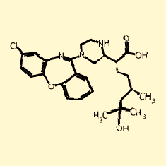 C[C@H](CC[C@@H](C(=O)O)[C@H]1CN(C2=Nc3cc(Cl)ccc3Oc3ccccc32)CCN1)CC(C)(C)O